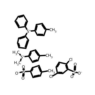 Cc1ccc(S(=O)(=O)[O-])cc1.Cc1ccc([S+](C)C)cc1.Cc1ccc([S+](c2ccccc2)c2ccccc2)cc1.O=S(=O)([O-])c1cc(Cl)ccc1Cl